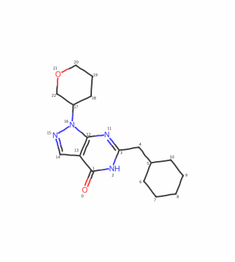 O=c1[nH]c(CC2CCCCC2)nc2c1cnn2C1CCCOC1